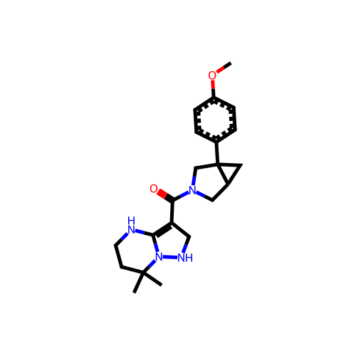 COc1ccc(C23CC2CN(C(=O)C2=C4NCCC(C)(C)N4NC2)C3)cc1